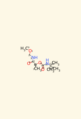 COCNC(=O)[C@H](C)OC(=O)NC(C)(C)C